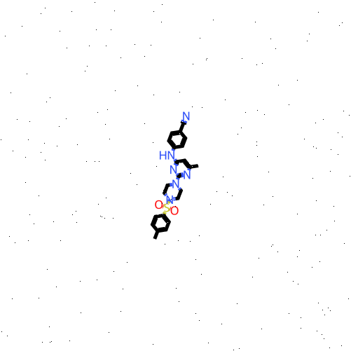 Cc1ccc(S(=O)(=O)N2CCN(c3nc(C)cc(Nc4ccc(C#N)cc4)n3)CC2)cc1